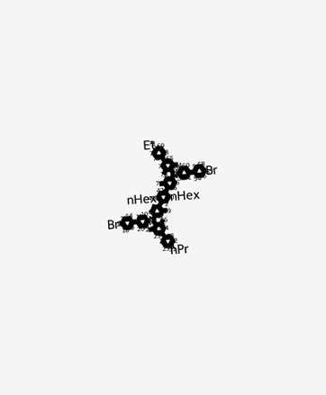 CCCCCCc1cc(-c2ccc(N(c3ccc(-c4ccc(Br)cc4)cc3)c3c(C)cc(-c4ccc(CCC)cc4)cc3C)cc2C)c(CCCCCC)cc1-c1ccc(N(c2ccc(-c3ccc(Br)cc3)cc2)c2c(C)cc(-c3ccc(CC)cc3)cc2C)cc1C